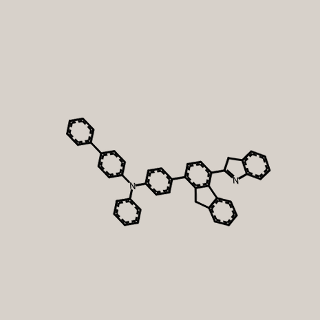 c1ccc(-c2ccc(N(c3ccccc3)c3ccc(-c4ccc(C5=Nc6ccccc6C5)c5c4Cc4ccccc4-5)cc3)cc2)cc1